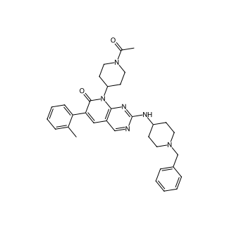 CC(=O)N1CCC(n2c(=O)c(-c3ccccc3C)cc3cnc(NC4CCN(Cc5ccccc5)CC4)nc32)CC1